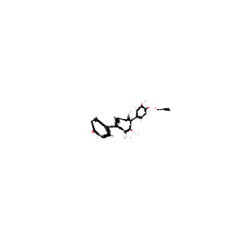 C#CCOc1ccc(-c2c(OC)cc(-c3ccc(O)cc3)c(OC)c2O)cc1O